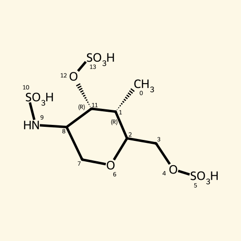 C[C@@H]1C(COS(=O)(=O)O)OCC(NS(=O)(=O)O)[C@@H]1OS(=O)(=O)O